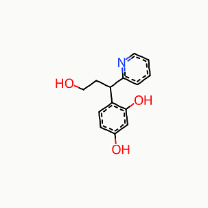 OCCC(c1ccccn1)c1ccc(O)cc1O